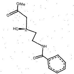 COC(=O)C[C@H](O)CCNC(=O)c1ccccc1